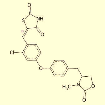 CN1C(=O)OCC1Cc1ccc(Oc2ccc(/C=C3/SC(=O)NC3=O)c(Cl)c2)cc1